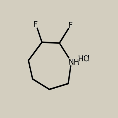 Cl.FC1CCCCNC1F